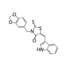 O=C1/C(=C\c2c[nH]c3ccccc23)SC(=S)N1Cc1ccc2c(c1)OCO2